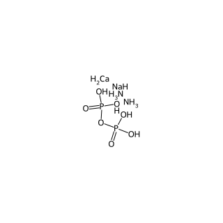 N.N.O=P(O)(O)OP(=O)(O)O.[CaH2].[NaH]